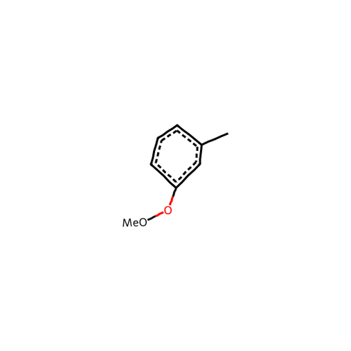 COOc1cccc(C)c1